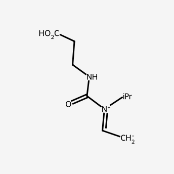 [CH2-]/C=[N+](/C(=O)NCCC(=O)O)C(C)C